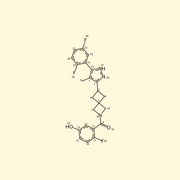 Cc1c(C2CC3(C2)CN(C(=O)c2cc(O)ccc2F)C3)n[nH]c1-c1cc(F)ccc1F